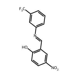 O=[N+]([O-])c1ccc(O)c(/C=N/c2cccc(C(F)(F)F)c2)c1